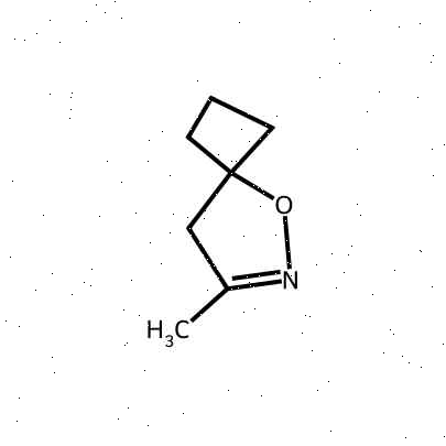 CC1=NOC2(CCC2)C1